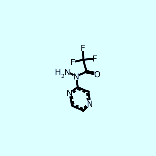 NN(C(=O)C(F)(F)F)c1cnccn1